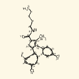 CCCCCNC(=O)c1nc(-c2ccc(Cl)cc2F)n(-c2ccc(Cl)cc2)c1C